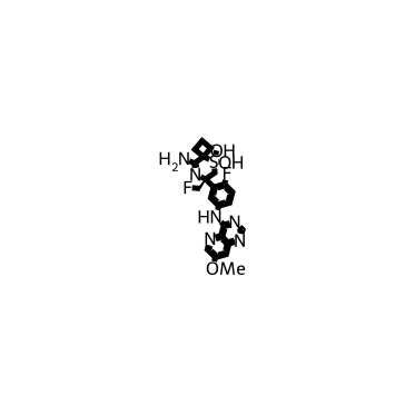 COc1cnc2c(Nc3ccc(F)c([C@@]4(CF)CS(O)(O)C5(CCC5)C(N)=N4)c3)ncnc2c1